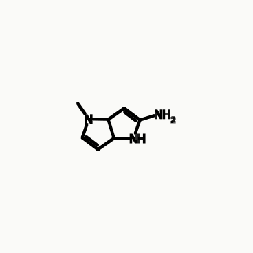 CN1C=CC2NC(N)=CC21